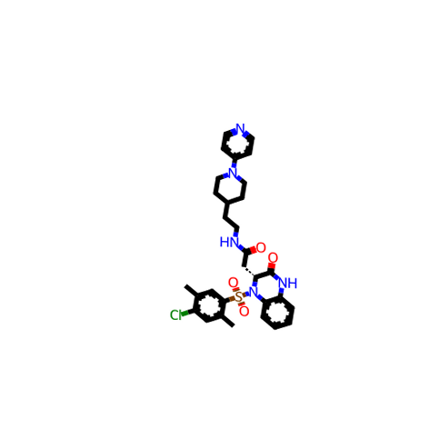 Cc1cc(S(=O)(=O)N2c3ccccc3NC(=O)[C@H]2CC(=O)NCCC2CCN(c3ccncc3)CC2)c(C)cc1Cl